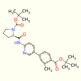 Cc1cc(-c2ccc(NC(=O)[C@H]3CCCN3C(=O)OC(C)(C)C)nc2)ccc1C(=O)OC(C)(C)C